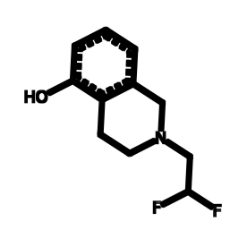 Oc1cccc2c1CCN(CC(F)F)C2